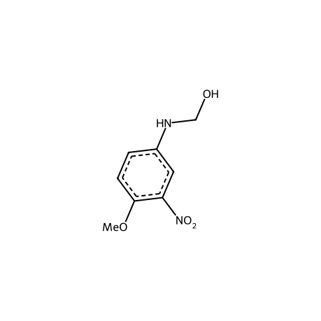 COc1ccc(NCO)cc1[N+](=O)[O-]